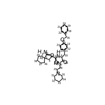 NC(=O)C1(C[CH]C(=O)NC(Cc2ccc(OCc3ccccc3)cc2)C(=O)NCCN2CCCCC2)CCCCC1